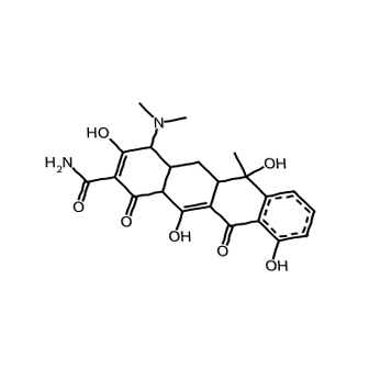 CN(C)C1C(O)=C(C(N)=O)C(=O)C2C(O)=C3C(=O)c4c(O)cccc4C(C)(O)C3CC21